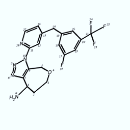 NC1CCOCc2c1nnn2-c1cc(Cc2cc(F)cc(C(F)(F)F)c2)ccn1